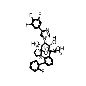 NC(=O)c1cccc(-c2ccccc2F)c1[C@H]1CCO[C@]12O[C@H](CO)[C@H](O)[C@H](n1cc(-c3cc(F)c(F)c(F)c3)nn1)[C@H]2O